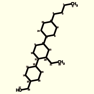 CCCCC1CCC(C2CCC(C3CCC(CO)CC3)C(CC)C2)CC1